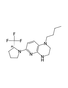 CCCCN1CCNc2nc(N3CCC[C@@H]3C(F)(F)F)ccc21